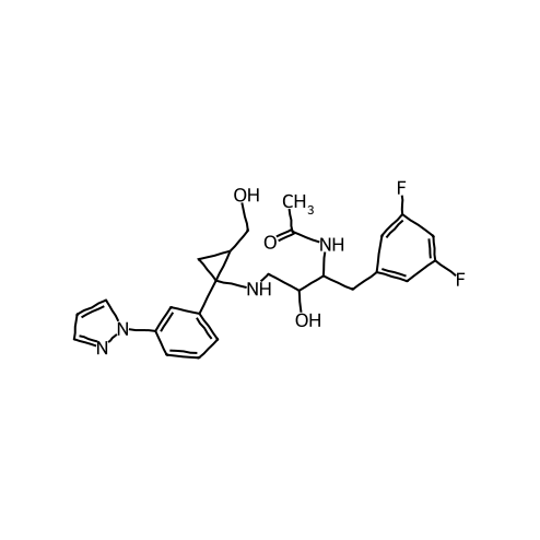 CC(=O)NC(Cc1cc(F)cc(F)c1)C(O)CNC1(c2cccc(-n3cccn3)c2)CC1CO